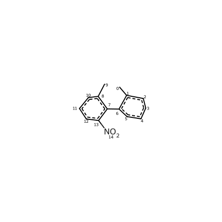 Cc1ccccc1-c1c(C)cccc1[N+](=O)[O-]